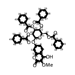 COc1c(O)c2ccc(O[C@@H]3O[C@H](COC(=O)c4ccccc4)[C@@H](OC(=O)c4ccccc4)[C@H](OC(=O)c4ccccc4)[C@H]3OC(=O)c3ccccc3)cc2oc1=O